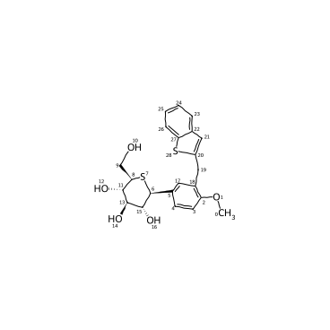 COc1ccc([C@@H]2S[C@H](CO)[C@@H](O)[C@H](O)[C@H]2O)cc1Cc1cc2ccccc2s1